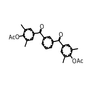 CC(=O)Oc1c(C)cc(C(=O)c2cccc(C(=O)c3cc(C)c(OC(C)=O)c(C)c3)c2)cc1C